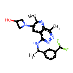 COc1nc2c(C)nnc(N[C@H](C)c3cccc(C(F)F)c3)c2cc1N1CC(O)C1